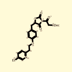 CCCCCCCCCCCC(=O)N1C(=O)SC(Cc2ccc(OCCc3ccc(CC)cn3)cc2)C1=O